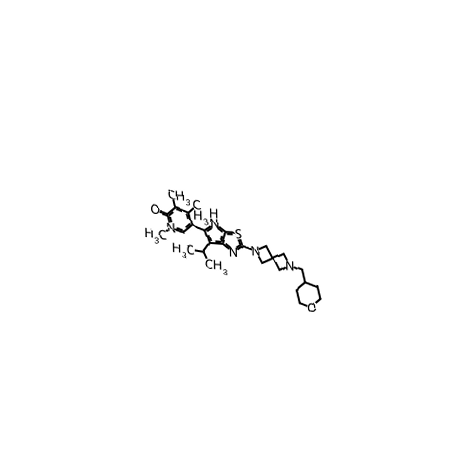 Cc1c(-c2[nH]c3sc(N4CC5(CN(CC6CCOCC6)C5)C4)nc3c2C(C)C)cn(C)c(=O)c1C